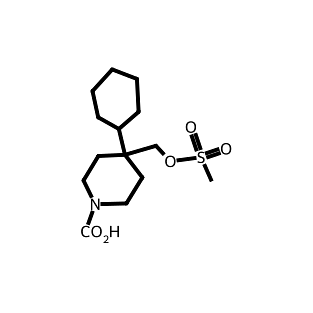 CS(=O)(=O)OCC1(C2CCCCC2)CCN(C(=O)O)CC1